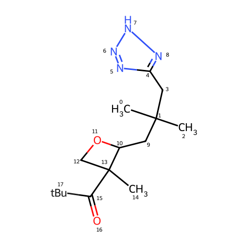 CC(C)(Cc1nn[nH]n1)CC1OCC1(C)C(=O)C(C)(C)C